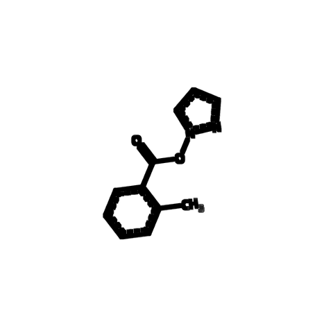 Cc1ccccc1C(=O)On1cccn1